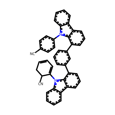 N#Cc1ccc(-n2c3ccccc3c3cccc(-c4cccc(-c5cccc6c7ccccc7n(C7=CC=CCC7C#N)c56)c4)c32)cc1